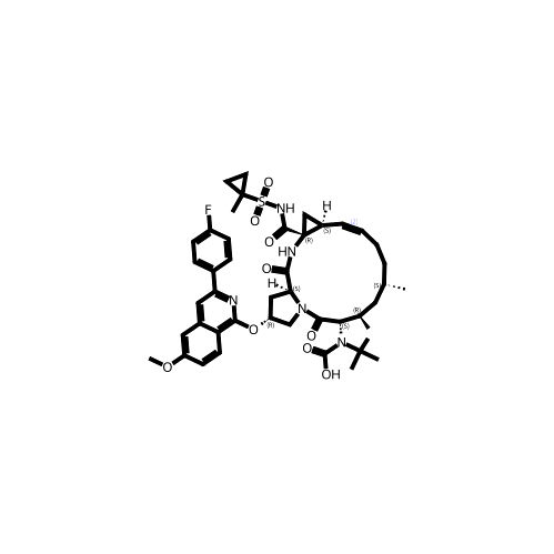 COc1ccc2c(O[C@@H]3C[C@H]4C(=O)N[C@]5(C(=O)NS(=O)(=O)C6(C)CC6)C[C@H]5/C=C\CC[C@H](C)C[C@@H](C)[C@H](N(C(=O)O)C(C)(C)C)C(=O)N4C3)nc(-c3ccc(F)cc3)cc2c1